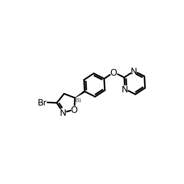 BrC1=NO[C@H](c2ccc(Oc3ncccn3)cc2)C1